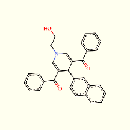 O=C(C1=CN(CCO)C=C(C(=O)c2ccccc2)C1c1ccc2ccccc2c1)c1ccccc1